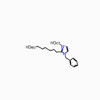 CCCCCCCCCCCCCCCCc1n(Cc2ccccc2)cc[n+]1CCCCCCCC